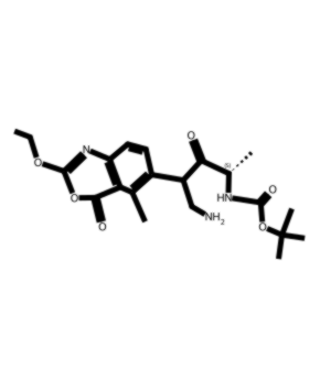 CCOc1nc2ccc(C(CN)C(=O)[C@H](C)NC(=O)OC(C)(C)C)c(C)c2c(=O)o1